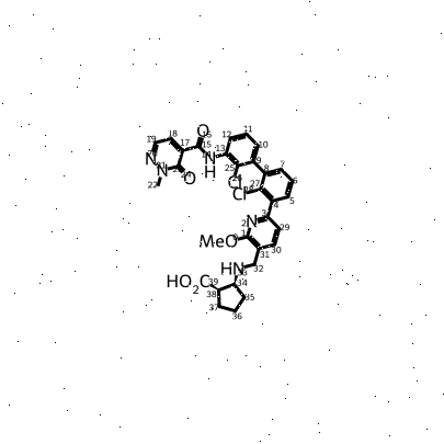 COc1nc(-c2cccc(-c3cccc(NC(=O)c4ccnn(C)c4=O)c3Cl)c2Cl)ccc1CN[C@H]1CCC[C@H]1C(=O)O